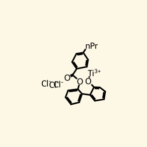 CCCc1ccc(C(=O)Oc2ccccc2-c2ccccc2[O][Ti+3])cc1.[Cl-].[Cl-].[Cl-]